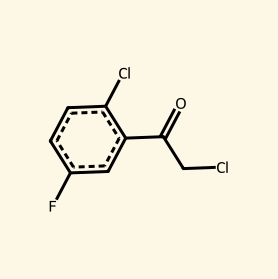 O=C(CCl)c1cc(F)ccc1Cl